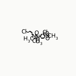 CC1(C)C(=O)N(c2ccc(S(C)(=O)=O)c(Cl)c2)C(=O)N1C/C=C\CCl